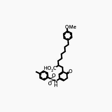 COc1ccc(CCCCCCC(CC2=CC(NS(=O)(=O)c3ccc(C)cc3)=CCC2=O)C(=O)O)cc1